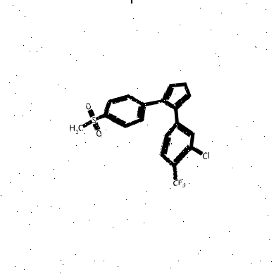 CS(=O)(=O)c1ccc(C2=CCC=C2c2ccc(C(F)(F)F)c(Cl)c2)cc1